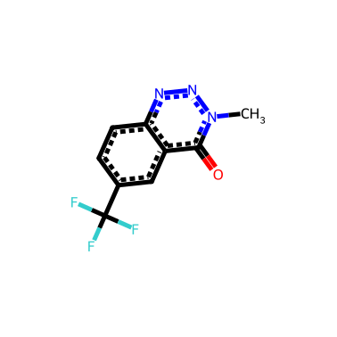 Cn1nnc2ccc(C(F)(F)F)cc2c1=O